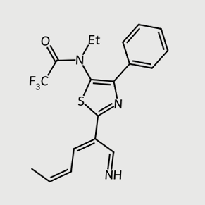 C/C=C\C=C(/C=N)c1nc(-c2ccccc2)c(N(CC)C(=O)C(F)(F)F)s1